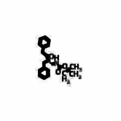 CC(C)(C)OC(=O)NC[C@@]1(Cc2ccccc2)OC1Cc1ccccc1